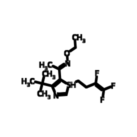 CCO/N=C(\C)C1=C(C(C)(C)C)N=C[SH]1CCC(F)=C(F)F